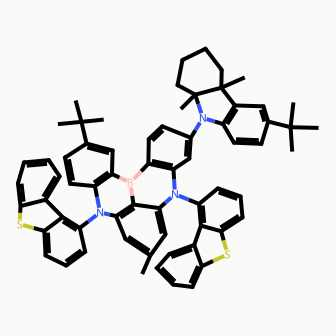 Cc1cc2c3c(c1)N(c1cccc4sc5ccccc5c14)c1cc(N4c5ccc(C(C)(C)C)cc5C5(C)CCCCC45C)ccc1B3c1cc(C(C)(C)C)ccc1N2c1cccc2sc3ccccc3c12